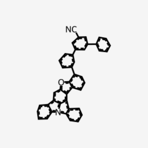 N#Cc1cc(-c2ccccc2)cc(-c2cccc(-c3cccc4c3oc3cc5c6ccccc6n6c7ccccc7c(c34)c56)c2)c1